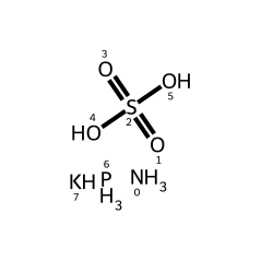 N.O=S(=O)(O)O.P.[KH]